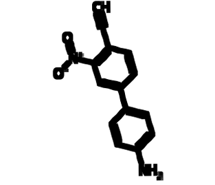 C#Cc1ccc(-c2ccc(N)cc2)cc1[N+](=O)[O-]